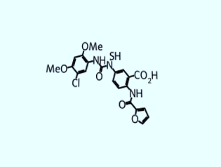 COc1cc(OC)c(NC(=O)N(S)c2ccc(NC(=O)c3ccco3)c(C(=O)O)c2)cc1Cl